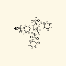 CC(O)(c1ccc([C@@]2(CN(CCc3ccccc3)S(C)(=O)=O)CN(S(=O)(=O)C3=CC=CCC3=S)CCN2)cc1)C(F)(F)F